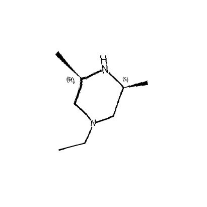 CCN1C[C@@H](C)N[C@@H](C)C1